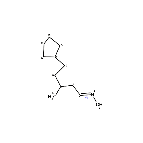 CC(C/C=N/O)CCC1CCCC1